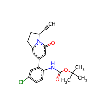 C#CC1CCc2cc(-c3cc(Cl)ccc3NC(=O)OC(C)(C)C)cc(=O)n21